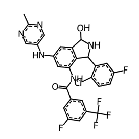 Cc1ncc(Nc2cc(NC(=O)c3cc(F)cc(C(F)(F)F)c3)c3c(c2)C(O)NC3c2cc(F)ccc2Cl)cn1